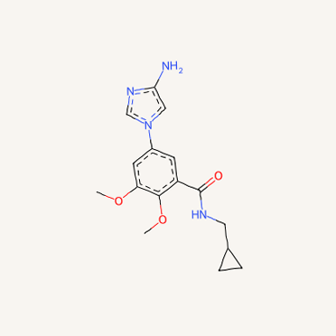 COc1cc(-n2cnc(N)c2)cc(C(=O)NCC2CC2)c1OC